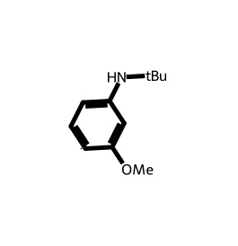 COc1[c]ccc(NC(C)(C)C)c1